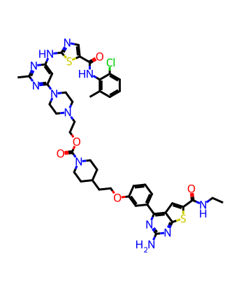 CCNC(=O)c1cc2c(-c3cccc(OCCC4CCN(C(=O)OCCN5CCN(c6cc(Nc7ncc(C(=O)Nc8c(C)cccc8Cl)s7)nc(C)n6)CC5)CC4)c3)nc(N)nc2s1